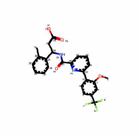 COc1cc(C(F)(F)F)ccc1-c1cccc(C(=O)NC(CC(=O)O)c2ccccc2C)n1